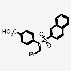 CC(C)CN(c1ccc(C(=O)O)cc1)S(=O)(=O)c1ccc2ccccc2c1